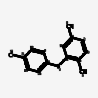 N#Cc1ccc(C#N)c(Sc2ccc(Cl)cc2)c1